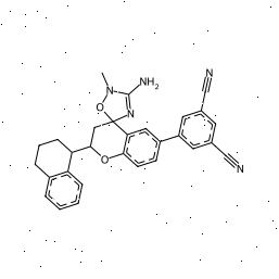 CN1OC2(CC(C3CCCc4ccccc43)Oc3ccc(-c4cc(C#N)cc(C#N)c4)cc32)N=C1N